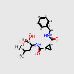 CC(C)CC(NC(=O)[C@@H]1C[C@H]1C(=O)NCc1ccccc1)B(O)O